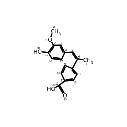 COc1cc(C=C(C)c2ccc(C(=O)O)cc2)ccc1O